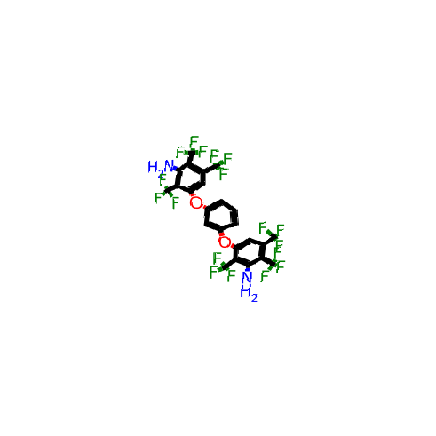 Nc1c(C(F)(F)F)c(Oc2cccc(Oc3cc(C(F)(F)F)c(C(F)(F)F)c(N)c3C(F)(F)F)c2)cc(C(F)(F)F)c1C(F)(F)F